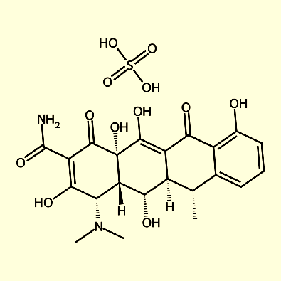 C[C@H]1c2cccc(O)c2C(=O)C2=C(O)[C@]3(O)C(=O)C(C(N)=O)=C(O)[C@@H](N(C)C)[C@H]3[C@@H](O)[C@@H]21.O=S(=O)(O)O